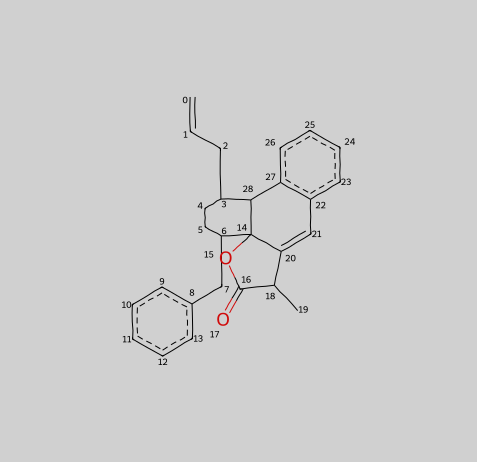 C=CCC1CCC(Cc2ccccc2)C23OC(=O)C(C)C2=Cc2ccccc2C13